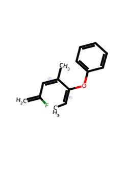 C=C(F)/C=C(C)\C(=C/C)Oc1ccccc1